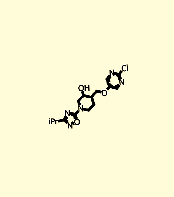 CC(C)c1noc(N2CCC(COc3cnc(Cl)nc3)C(O)C2)n1